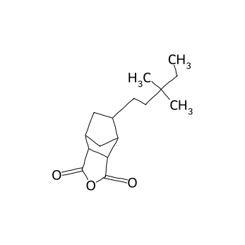 CCC(C)(C)CCC1CC2CC1C1C(=O)OC(=O)C21